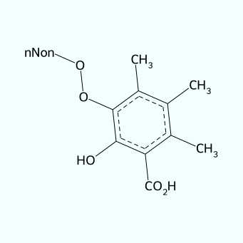 CCCCCCCCCOOc1c(C)c(C)c(C)c(C(=O)O)c1O